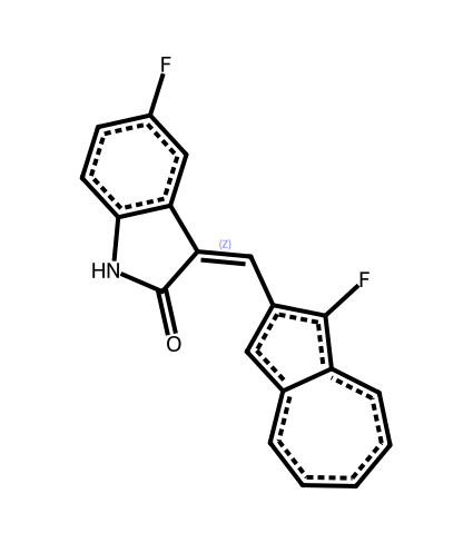 O=C1Nc2ccc(F)cc2/C1=C/c1cc2cccccc-2c1F